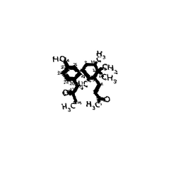 CC(=O)/C=C/C1C(C)=CCC(C)C1(C)C.CCC(=O)Cc1ccc(O)cc1